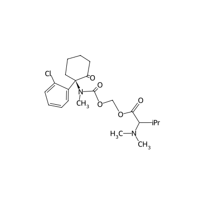 CC(C)C(C(=O)OCOC(=O)N(C)[C@@]1(c2ccccc2Cl)CCCCC1=O)N(C)C